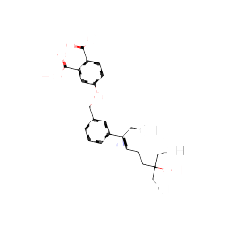 CC/C(=C\CCC(O)(CC)CC)c1cccc(COc2ccc(C(=O)O)c(C(=O)O)c2)c1